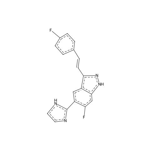 Fc1ccc(C=Cc2n[nH]c3cc(F)c(-c4ncc[nH]4)cc23)cc1